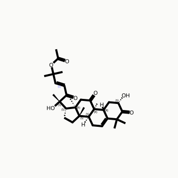 CC(=O)OC(C)(C)/C=C/C(=O)[C@@](C)(O)[C@H]1CC[C@@]2(C)[C@@H]3CC=C4[C@@H](C[C@H](O)C(=O)C4(C)C)[C@]3(C)C(=O)C[C@]12C